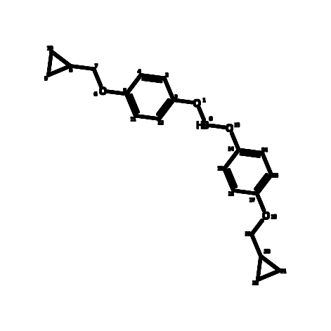 B(Oc1ccc(OCC2CC2)cc1)Oc1ccc(OCC2CC2)cc1